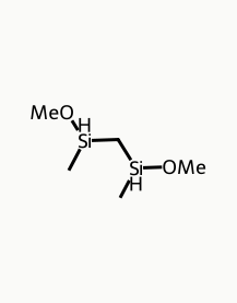 CO[SiH](C)C[SiH](C)OC